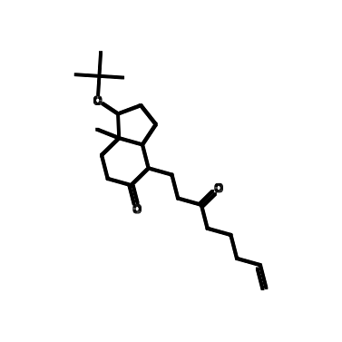 C=CCCCC(=O)CCC1C(=O)CCC2(C)C(OC(C)(C)C)CCC12